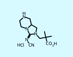 CC(C)(CN1CC2CNCCN2C1=NC#N)C(=O)O.Cl